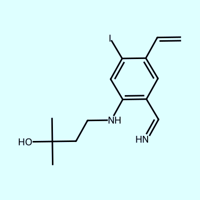 C=Cc1cc(C=N)c(NCCC(C)(C)O)cc1I